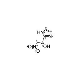 O=[N+]([O-])CC(O)c1ncc[nH]1